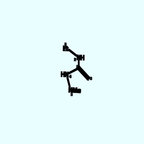 C=C(NCC)NNC